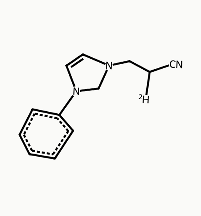 [2H]C(C#N)CN1C=CN(c2ccccc2)C1